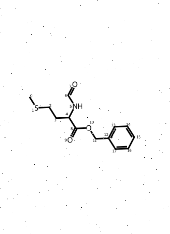 CSCCC(NC=O)C(=O)OCc1ccccc1